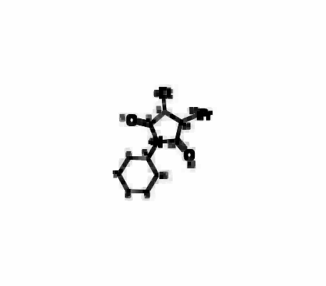 CCC1C(=O)N(C2CCCCC2)C(=O)C1C(C)C